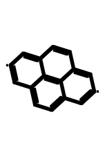 [c]1cc2ccc3c[c]cc4ccc(c1)c2c34